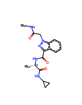 CC(C)(C)NC(=O)Cn1nc(C(=O)N[C@H](C(=O)NC2CC2)C(C)(C)C)c2ccccc21